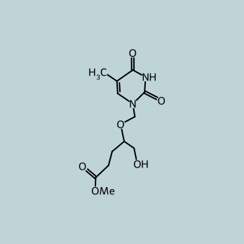 COC(=O)CCC(CO)OCn1cc(C)c(=O)[nH]c1=O